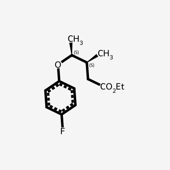 CCOC(=O)C[C@H](C)[C@H](C)Oc1ccc(F)cc1